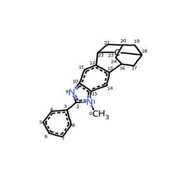 Cn1c(-c2ccccc2)nc2cc3c(cc21)C1CC2CC(CC3C2)C1